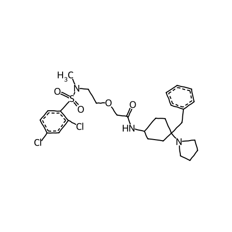 CN(CCOCC(=O)NC1CCC(Cc2ccccc2)(N2CCCC2)CC1)S(=O)(=O)c1ccc(Cl)cc1Cl